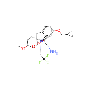 CO[C@H]1CC[C@]2(CC1)Cc1ccc(OCC3CC3)cc1[C@@]21N=C(N)N(CC(F)(F)F)C1=O